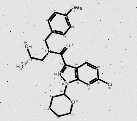 COc1ccc(CN(C[C@H](C)O)C(=O)c2nn(C3CCCCO3)c3nc(Cl)ccc23)cc1